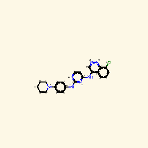 Clc1cccc2c(Nc3ccnc(Nc4ccc(N5CCCCC5)cc4)n3)cnnc12